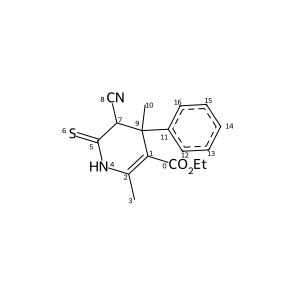 CCOC(=O)C1=C(C)NC(=S)C(C#N)C1(C)c1ccccc1